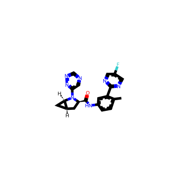 Cc1ccc(NC(=O)[C@H]2C[C@H]3C[C@H]3N2c2cncnn2)cc1-c1ncc(F)cn1